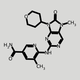 Cc1cc(C(N)=O)cnc1Nc1ncc2c(n1)n(C1CCOCC1)c(=O)n2C